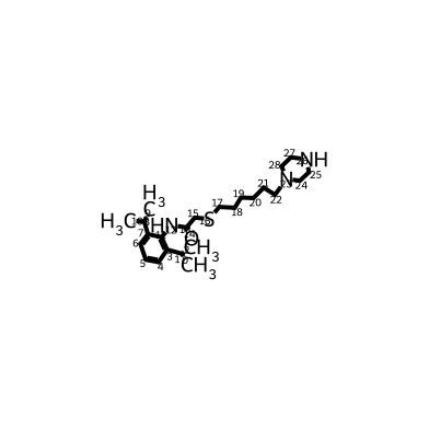 CC(C)c1cccc(C(C)C)c1NC(=O)CSCCCCCCN1CCNCC1